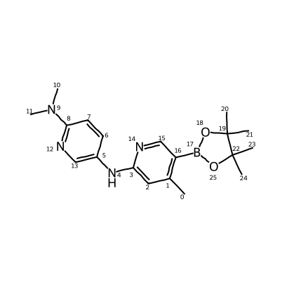 Cc1cc(Nc2ccc(N(C)C)nc2)ncc1B1OC(C)(C)C(C)(C)O1